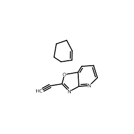 C#Cc1nc2ncccc2o1.C1=CCCCC1